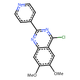 COc1cc2nc(-c3ccncc3)nc(Cl)c2cc1OC